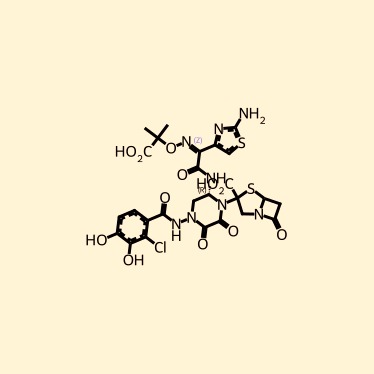 CC(C)(O/N=C(\C(=O)N[C@H]1CN(NC(=O)c2ccc(O)c(O)c2Cl)C(=O)C(=O)N1C1(C(=O)O)CN2C(=O)CC2S1)c1csc(N)n1)C(=O)O